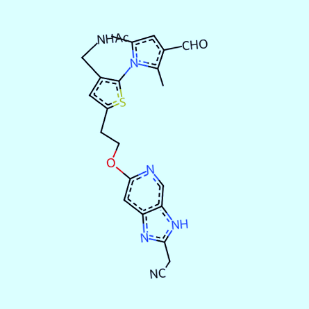 CC(=O)NCc1cc(CCOc2cc3nc(CC#N)[nH]c3cn2)sc1-n1c(C)cc(C=O)c1C